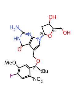 COc1cc([C@@H](OCc2cn([C@H]3CC(O)[C@@H](CO)O3)c3nc(N)[nH]c(=O)c23)C(C)(C)C)c([N+](=O)[O-])cc1I